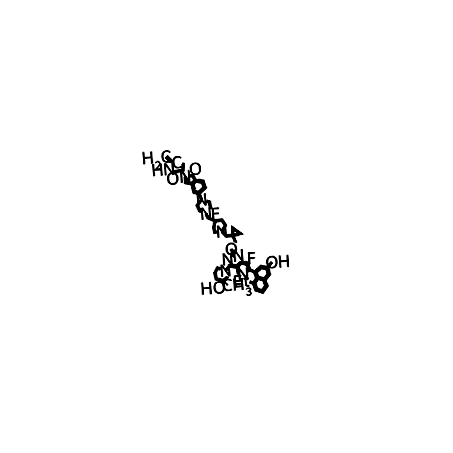 C=C1CC[C@H](N2Cc3cc(N4CCN(CC5(F)CCN(CC6(COc7nc(N8CCC[C@@](C)(O)C8)c8cnc(-c9cc(O)cc%10cccc(CC)c9%10)c(F)c8n7)CC6)CC5)CC4)ccc3C2=O)C(=O)N1